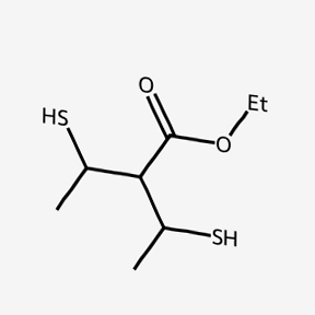 CCOC(=O)C(C(C)S)C(C)S